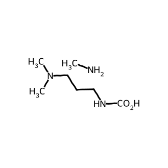 CN.CN(C)CCCNC(=O)O